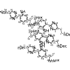 CCCCCCCCCCCCc1cnc(-c2ccc(C(C)CCCCCC)cc2S)nc1.CCCCCCCCCCCc1cnc(-c2ccc(C(C)CCCCCC)cc2S)nc1.CCCCCCCCCCc1cnc(-c2ccc(C(C)CCCCCC)cc2S)nc1.CCCCCCCCCc1cnc(-c2ccc(C(C)CCCCCC)cc2S)nc1